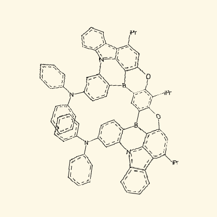 CC(C)c1c2c(cc3c1Oc1cc(C(C)C)c4c5ccccc5n5c4c1B3c1ccc(N(c3ccccc3)c3ccccc3)cc1-5)B1c3ccc(N(c4ccccc4)c4ccccc4)cc3-n3c4ccccc4c4c(C(C)C)cc(c1c43)O2